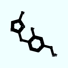 CCCOc1ccc(Oc2ncc(Br)s2)c(Br)c1